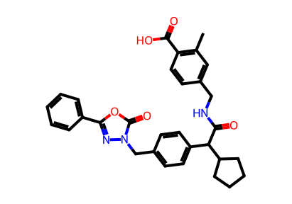 Cc1cc(CNC(=O)C(c2ccc(Cn3nc(-c4ccccc4)oc3=O)cc2)C2CCCC2)ccc1C(=O)O